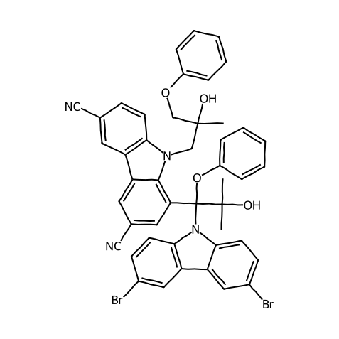 CC(O)(COc1ccccc1)Cn1c2ccc(C#N)cc2c2cc(C#N)cc(C(Oc3ccccc3)(n3c4ccc(Br)cc4c4cc(Br)ccc43)C(C)(C)O)c21